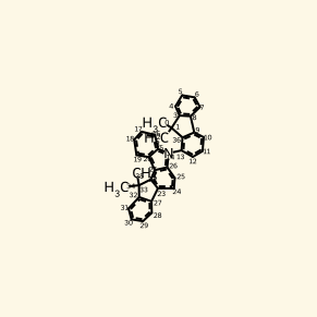 CC1(C)c2ccccc2-c2cccc(-n3c4ccccc4c4c5c(ccc43)-c3ccccc3C5(C)C)c21